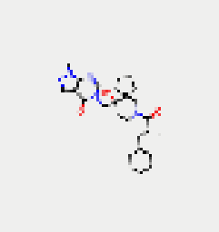 CCn1ncc2c(=O)n(CC3(O)CCN(C(=O)[C@H](C)CC4CCCCC4)CC34CCCC4)cnc21